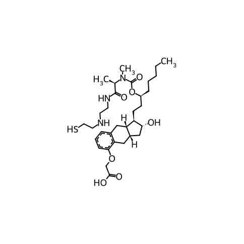 CCCCC[C@@H](CC[C@@H]1[C@H]2Cc3cccc(OCC(=O)O)c3C[C@H]2C[C@H]1O)OC(=O)N(C)[C@H](C)C(=O)NCCNCCS